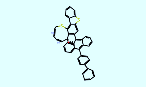 C=C1/C=C\C=C/CSc2c1c(-c1c3ccccc3c(-c3ccc(-c4ccccc4)cc3)c3ccccc13)cc1sc3ccccc3c21